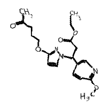 CCOC(=O)CC(c1ccc(OC)nc1)n1ccc(OCCCC(C)=O)n1